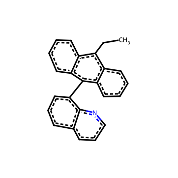 CCc1c2ccccc2c(-c2cccc3cccnc23)c2ccccc12